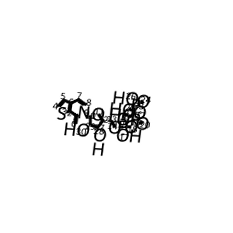 C=C1c2sccc2C=CN1[C@@H]1O[C@H](COP(=O)(O)OP(=O)(O)OP(=O)(O)O)[C@H](O)C1O